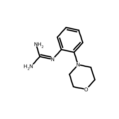 NC(N)=Nc1ccccc1N1CCOCC1